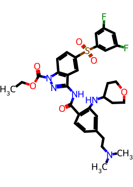 CCOC(=O)n1nc(NC(=O)c2ccc(CCN(C)C)cc2NC2CCOCC2)c2cc(S(=O)(=O)c3cc(F)cc(F)c3)ccc21